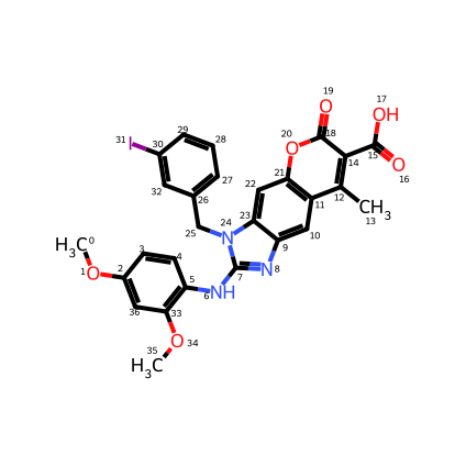 COc1ccc(Nc2nc3cc4c(C)c(C(=O)O)c(=O)oc4cc3n2Cc2cccc(I)c2)c(OC)c1